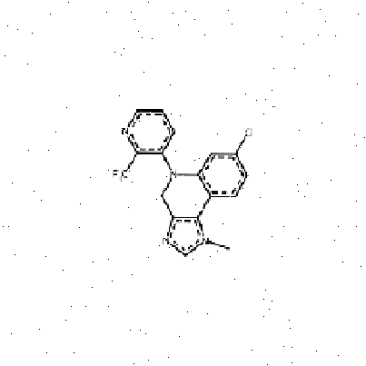 Cn1cnc2c1-c1ccc(Cl)cc1N(c1cccnc1C(F)(F)F)C2